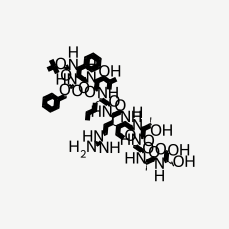 CCCC[C@H](NC(=O)[C@@H](NC(=O)[C@@H](NC(=O)OCc1ccccc1)[C@H](NC(=O)OC(C)(C)C)c1ccccc1)[C@H](O)C(C)C)C(=O)N[C@H](CCCNC(=N)N)C(=O)N[C@H](C(=O)N[C@H](C(=O)NCC(=O)N[C@@H](C)C(=O)N[C@@H](CO)C(=O)O)[C@H](C)O)[C@@H](C)CC